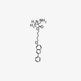 CC(N)(CN)C(=O)OCCCCCOc1ccc2c(c1)C=C(c1ccccc1)C2